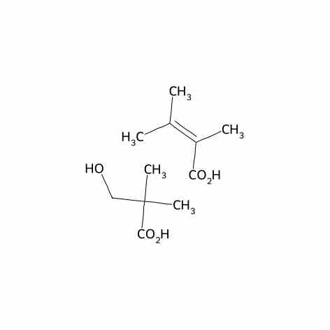 CC(C)(CO)C(=O)O.CC(C)=C(C)C(=O)O